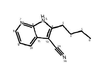 CCCCc1[nH]c2ncccc2c1C#N